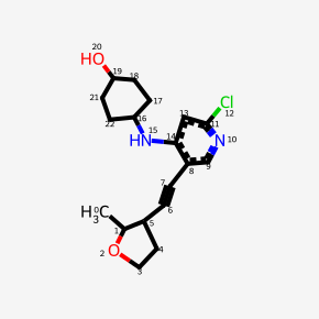 CC1OCCC1C#Cc1cnc(Cl)cc1NC1CCC(O)CC1